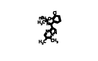 CCCCC1(C)N=C(c2cnn3c(C)c(C)cnc23)c2cccc(Cl)c2O1